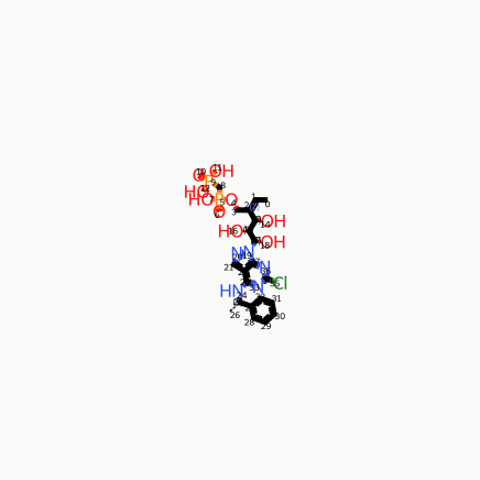 C/C=C(/COP(=O)(O)CP(=O)(O)O)[C@@H](O)[C@@H](O)[C@@H](O)n1ncc2c(N[C@@H](C)c3ccccc3)nc(Cl)nc21